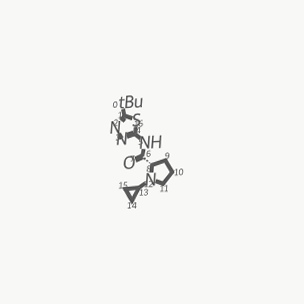 CC(C)(C)c1nnc(NC(=O)[C@@H]2CCCN2C2CC2)s1